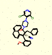 COc1ccccc1C(c1cccc2ccccc12)[C@](C#N)(Cc1ccccc1)C(=O)N1CCN(c2c(Cl)cncc2Cl)CC1